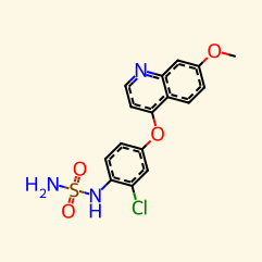 COc1ccc2c(Oc3ccc(NS(N)(=O)=O)c(Cl)c3)ccnc2c1